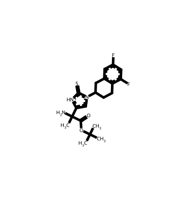 CC(C)(C)OC(=O)C(C)(N)c1cn(C2CCc3c(F)cc(F)cc3C2)c(=S)[nH]1